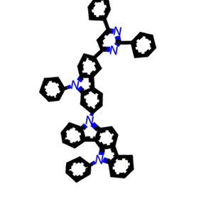 c1ccc(-c2cc(-c3ccc4c(c3)c3ccc(-n5c6ccccc6c6c5ccc5c7ccccc7n(-c7ccccc7)c56)cc3n4-c3ccccc3)nc(-c3ccccc3)n2)cc1